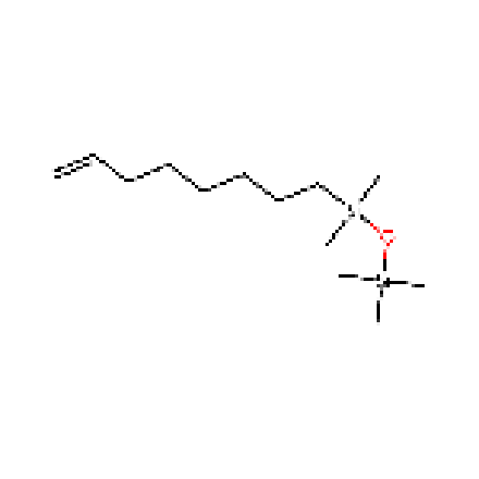 C=CCCCCCC[Si](C)(C)O[Si](C)(C)C